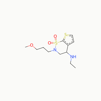 CCNC1CN(CCCOC)S(=O)(=O)c2sccc21